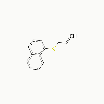 [CH]=CCSc1cccc2ccccc12